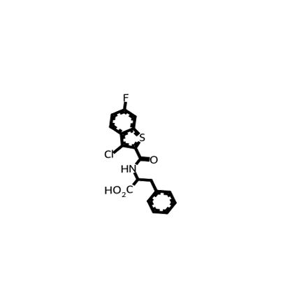 O=C(NC(Cc1ccccc1)C(=O)O)c1sc2cc(F)ccc2c1Cl